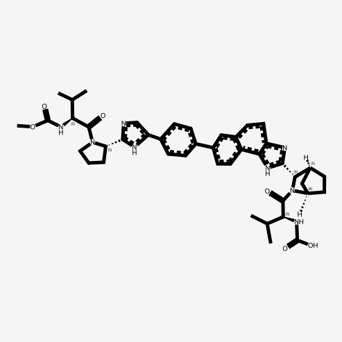 COC(=O)N[C@H](C(=O)N1CCC[C@H]1c1ncc(-c2ccc(-c3ccc4c(ccc5nc([C@@H]6[C@H]7CC[C@H](C7)N6C(=O)[C@@H](NC(=O)O)C(C)C)[nH]c54)c3)cc2)[nH]1)C(C)C